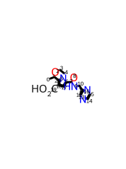 CC1OCCn2c(C(=O)NCc3cnccn3)cc(C(=O)O)c21